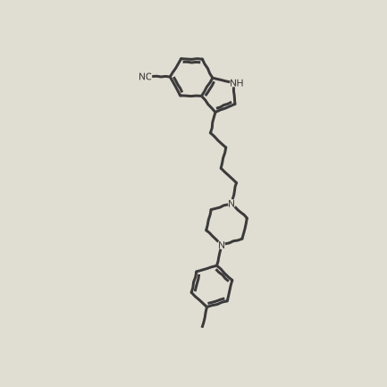 Cc1ccc(N2CCN(CCCCc3c[nH]c4ccc(C#N)cc34)CC2)cc1